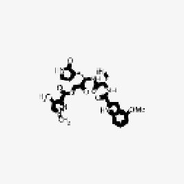 COc1cccc2[nH]c(C(=O)N[C@@H](CC(C)C)C(=O)N[C@@H](C[C@@H]3CCNC3=O)C(=O)COC(=O)c3nn(C)cc3C)cc12